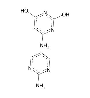 Nc1cc(O)nc(O)n1.Nc1ncccn1